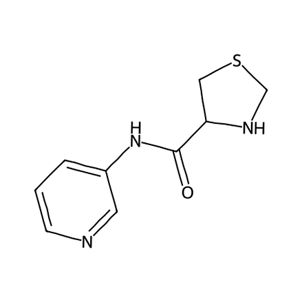 O=C(Nc1cccnc1)C1CSCN1